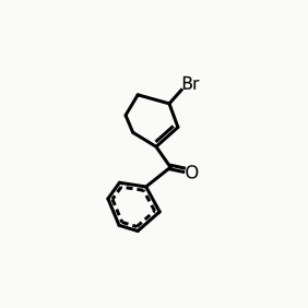 O=C(C1=CC(Br)CCC1)c1ccccc1